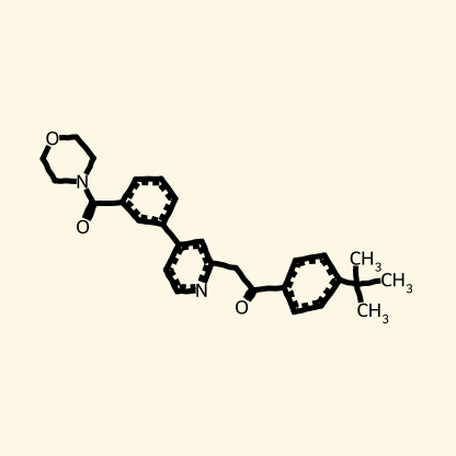 CC(C)(C)c1ccc(C(=O)Cc2cc(-c3cccc(C(=O)N4CCOCC4)c3)ccn2)cc1